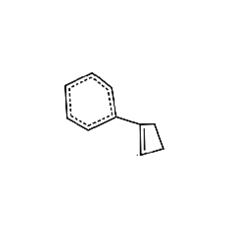 [C]1=C(c2ccccc2)CC1